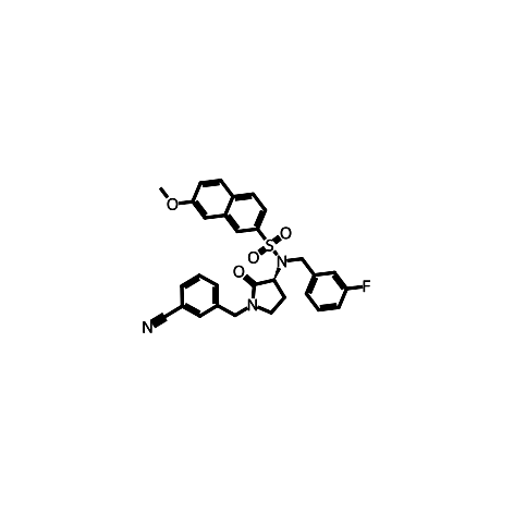 COc1ccc2ccc(S(=O)(=O)N(Cc3cccc(F)c3)[C@H]3CCN(Cc4cccc(C#N)c4)C3=O)cc2c1